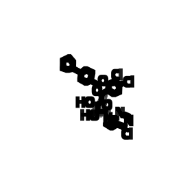 O=C(O[C@H](c1ccc(Cl)c(Cl)c1)[C@H]1O[C@@H](n2ccc3c(Cl)ncnc32)[C@H](O)[C@@H]1O)c1ccc(-c2ccccc2)cc1